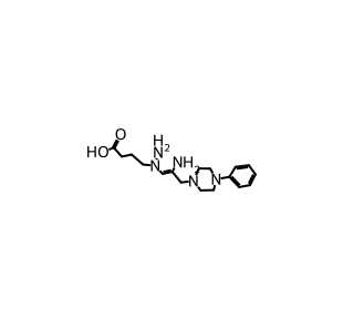 N/C(=C\N(N)CCCC(=O)O)CN1CCN(c2ccccc2)CC1